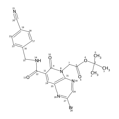 CC(C)(C)OC(=O)Cn1c(=O)c(C(=O)NCc2ccc(C#N)cc2)cc2nc(Br)cnc21